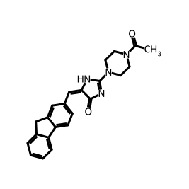 CC(=O)N1CCN(C2=NC(=O)C(=Cc3ccc4c(c3)Cc3ccccc3-4)N2)CC1